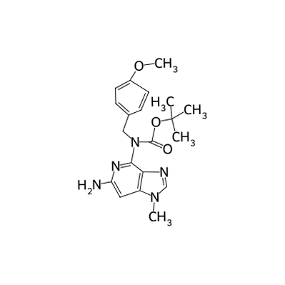 COc1ccc(CN(C(=O)OC(C)(C)C)c2nc(N)cc3c2ncn3C)cc1